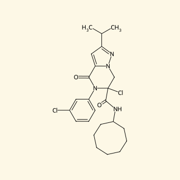 CC(C)c1cc2n(n1)CC(Cl)(C(=O)NC1CCCCCCC1)N(c1cccc(Cl)c1)C2=O